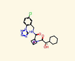 O=C([C@H](O)C1CCCCC1)N1CC2CC1(C(=O)NCc1cc(Cl)ccc1-n1cnnn1)C2